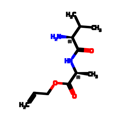 C=CCOC(=O)[C@H](C)NC(=O)[C@@H](N)C(C)C